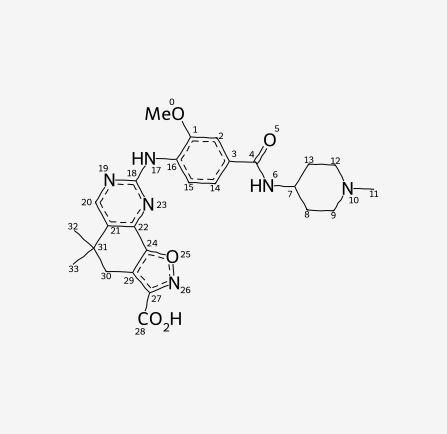 COc1cc(C(=O)NC2CCN(C)CC2)ccc1Nc1ncc2c(n1)-c1onc(C(=O)O)c1CC2(C)C